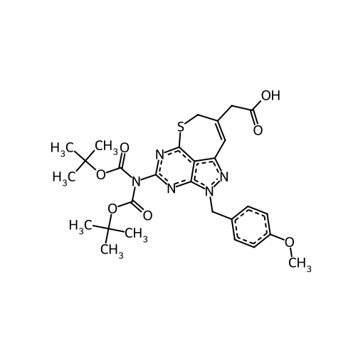 COc1ccc(Cn2nc3c4c(nc(N(C(=O)OC(C)(C)C)C(=O)OC(C)(C)C)nc42)SCC(CC(=O)O)=C3)cc1